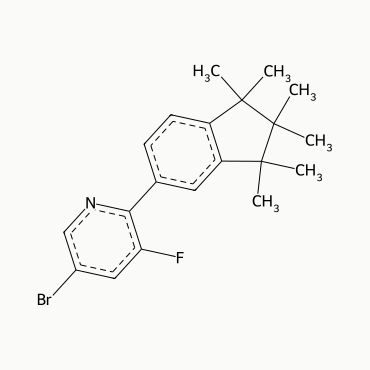 CC1(C)c2ccc(-c3ncc(Br)cc3F)cc2C(C)(C)C1(C)C